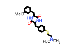 COc1cccc(C=c2[nH]c(=O)c(=Cc3ccc(SCCN(C)C)cc3)[nH]c2=O)c1